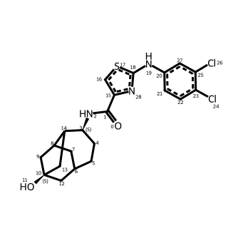 O=C(N[C@H]1CCC2CC3C[C@@](O)(C2)CC31)c1csc(Nc2ccc(Cl)c(Cl)c2)n1